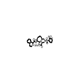 COC(=O)C1CN(S(=O)(=O)c2ccccc2[N+](=O)[O-])CC2CC=CCC(NC(=O)c3nccc4ccccc34)C(=O)N21